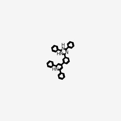 C1=CC(C2=CC(c3ccccc3)NC(c3ccccc3)=C2)=CC(C2N=C(c3ccccc3)NC(c3ccccc3)N2)C1